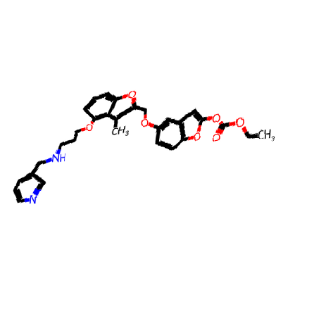 CCOC(=O)Oc1cc2cc(OCc3oc4cccc(OCCCNCc5cccnc5)c4c3C)ccc2o1